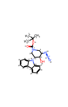 CC(C)(C)OC(=O)N1CC(N=[N+]=[N-])[C@@H](O)[C@H](n2c3ccccc3c3ccccc32)C1